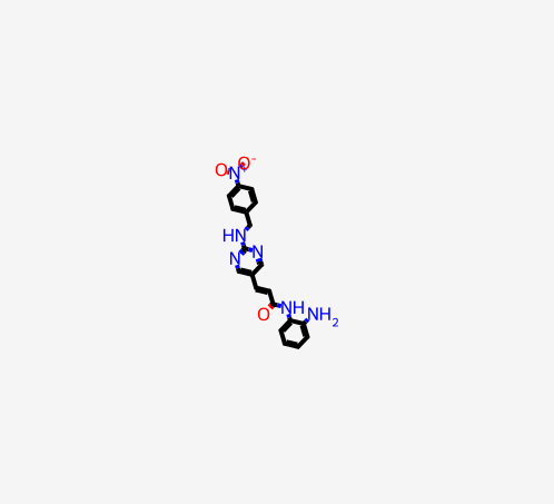 Nc1ccccc1NC(=O)C=Cc1cnc(NCc2ccc([N+](=O)[O-])cc2)nc1